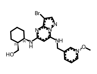 CO[n+]1cccc(CNc2cc(N[C@@H]3CCCC[C@@H]3CO)nc3c(Br)cnn23)c1